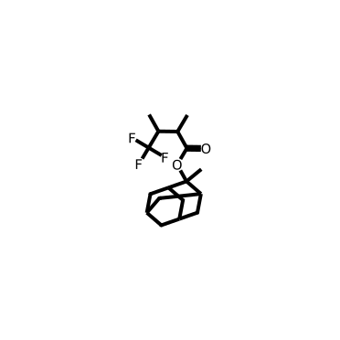 CC(C(=O)OC1(C)C2CC3CC(C2)CC1C3)C(C)C(F)(F)F